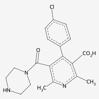 Cc1nc(C)c(C(=O)N2CCNCC2)c(-c2ccc(Cl)cc2)c1C(=O)O